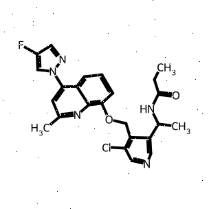 CCC(=O)NC(C)c1cncc(Cl)c1COc1cccc2c(-n3cc(F)cn3)cc(C)nc12